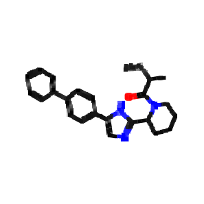 CSC(C)C(=O)N1CCCCC1c1ncc(-c2ccc(-c3ccccc3)cc2)[nH]1